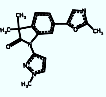 Cc1ncc(-c2ccc3c(c2)N(c2ccn(C)n2)C(=O)C3(C)C)o1